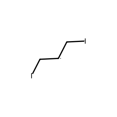 IC[CH]CI